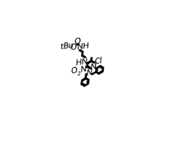 Cc1c(Cl)nc(N(Cc2ccccc2)Cc2ccccc2)c([N+](=O)[O-])c1NCCCCNC(=O)OC(C)(C)C